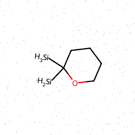 [SiH2]C1([SiH3])CCCCO1